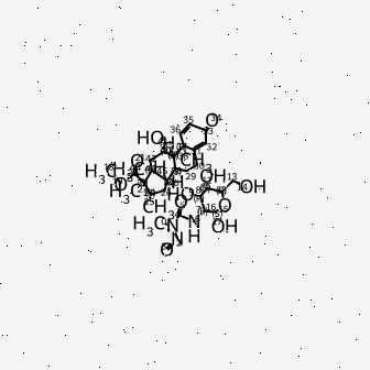 CN(N=O)C(=O)N[C@@H]1[C@@H](O)[C@H](O)[C@@H](CO)O[C@@H]1O.COC(=O)[C@@]1(C)[C@H](C)C[C@H]2[C@@H]3CCC4=CC(=O)C=C[C@]4(C)[C@H]3[C@@H](O)C[C@@]21C